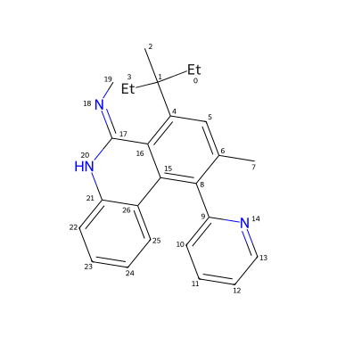 CCC(C)(CC)c1cc(C)c(-c2ccccn2)c2c1/c(=N\C)[nH]c1ccccc12